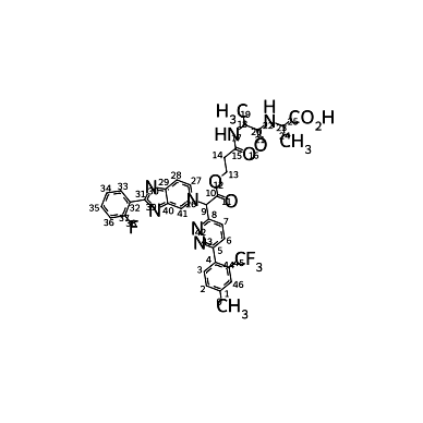 Cc1ccc(-c2ccc(C(C(=O)OCCC(=O)NC(C)C(=O)NC(C)C(=O)O)n3ccc4nc(-c5ccccc5F)nc-4c3)nn2)c(C(F)(F)F)c1